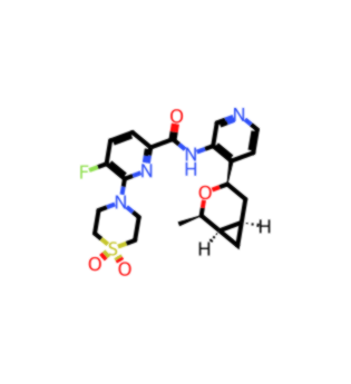 C[C@H]1O[C@@H](c2ccncc2NC(=O)c2ccc(F)c(N3CCS(=O)(=O)CC3)n2)C[C@H]2C[C@H]21